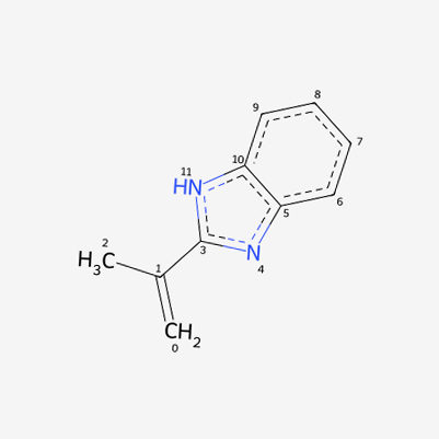 C=C(C)c1nc2ccccc2[nH]1